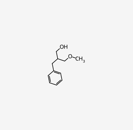 COCC(CO)Cc1ccccc1